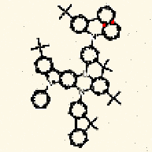 CC(C)(C)c1ccc(N(c2ccccc2)c2ccc3c(c2)C(C)(C)c2cc(C(C)(C)C)cc4c2B3c2cc3c5cc(C(C)(C)C)ccc5n(-c5ccccc5)c3cc2N4c2ccc3c(c2)C(C)(C)c2ccccc2-3)c(-c2ccccc2)c1